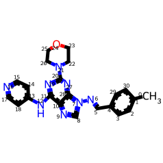 Cc1ccc(/C=N/n2cnc3c(Nc4ccncc4)nc(N4CCOCC4)nc32)cc1